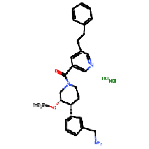 CCOC(=O)O[C@@H]1CN(C(=O)c2cncc(CCc3ccccc3)c2)CC[C@@H]1c1cccc(CN)c1.Cl.Cl